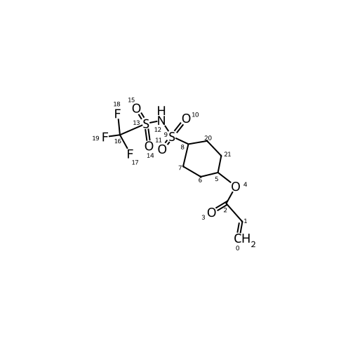 C=CC(=O)OC1CCC(S(=O)(=O)NS(=O)(=O)C(F)(F)F)CC1